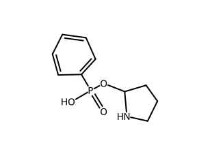 O=P(O)(OC1CCCN1)c1ccccc1